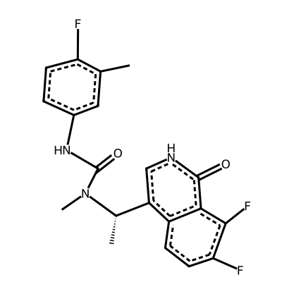 Cc1cc(NC(=O)N(C)[C@@H](C)c2c[nH]c(=O)c3c(F)c(F)ccc23)ccc1F